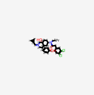 CC(C)CN(C(=O)Cc1ccc(Cl)c(Cl)c1)[C@H]1CC[C@]2(O)CN(CC3CC3)CC[C@@]2(c2cccc(O)c2)C1